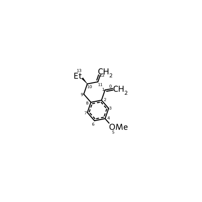 C=Cc1cc(OC)ccc1C[C@H](C=C)CC